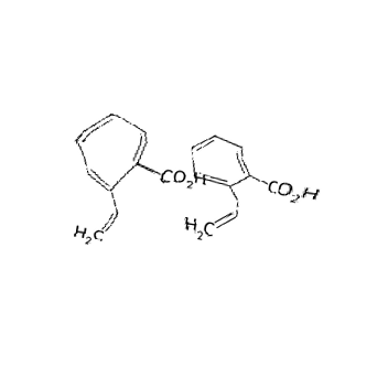 C=Cc1ccccc1C(=O)O.C=Cc1ccccc1C(=O)O